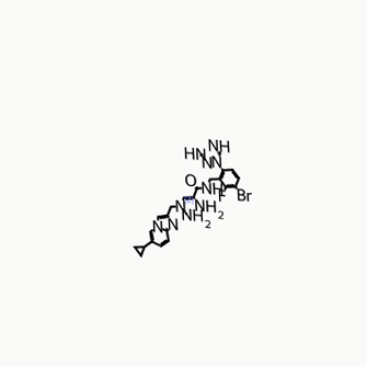 N=CN(N=N)c1ccc(Br)c(F)c1CNC(=O)/C(N)=C/N(N)Cc1cn2cc(C3CC3)ccc2n1